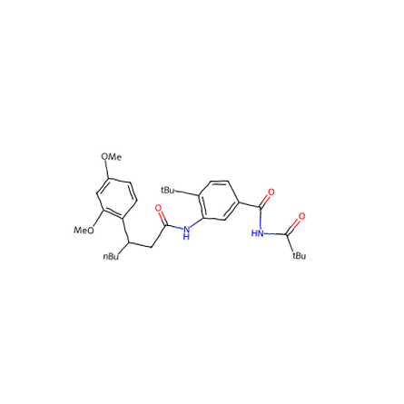 CCCCC(CC(=O)Nc1cc(C(=O)NC(=O)C(C)(C)C)ccc1C(C)(C)C)c1ccc(OC)cc1OC